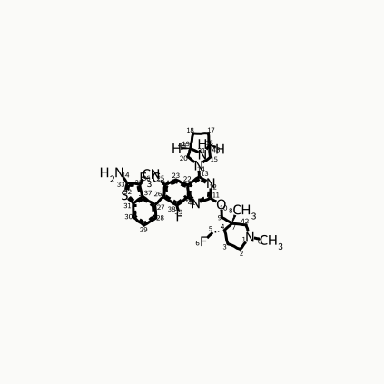 CN1CC[C@H](CF)[C@](C)(COc2nc(N3C[C@H]4CC[C@@H](C3)N4)c3cc(C(F)(F)F)c(-c4cccc5sc(N)c(C#N)c45)c(F)c3n2)C1